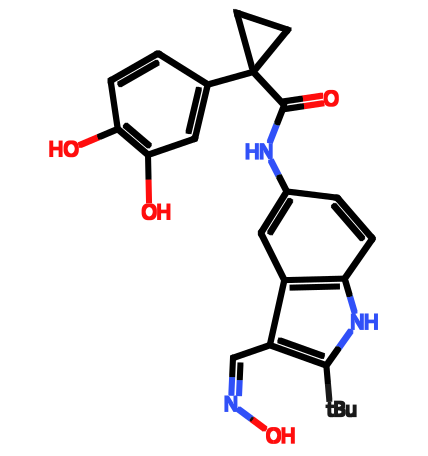 CC(C)(C)c1[nH]c2ccc(NC(=O)C3(c4ccc(O)c(O)c4)CC3)cc2c1/C=N\O